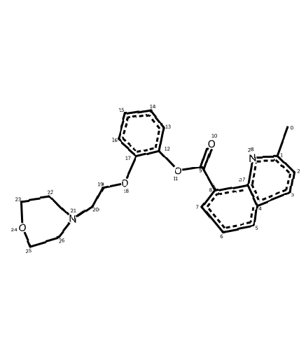 Cc1ccc2cccc(C(=O)Oc3ccccc3OCCN3CCOCC3)c2n1